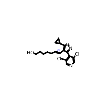 OCCCCC/C=C/c1c(-c2c(Cl)cncc2Cl)noc1C1CC1